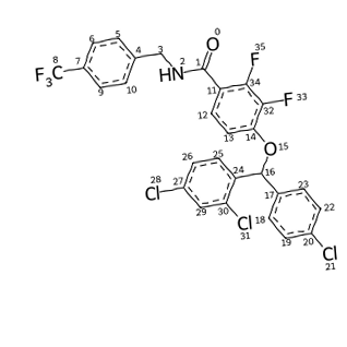 O=C(NCc1ccc(C(F)(F)F)cc1)c1ccc(OC(c2ccc(Cl)cc2)c2ccc(Cl)cc2Cl)c(F)c1F